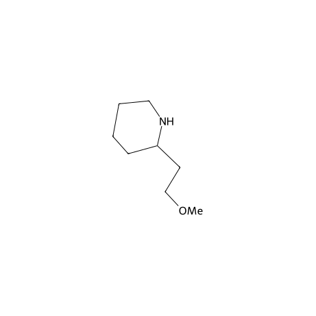 [CH2]OCCC1CCCCN1